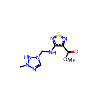 COC(=O)c1nsnc1NCN1C=NN(C)N1